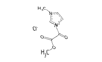 COC(=O)C(=O)[n+]1ccn(C)c1.[Cl-]